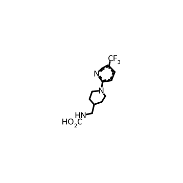 O=C(O)NCC1CCN(c2ccc(C(F)(F)F)cn2)CC1